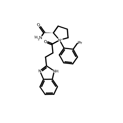 CC(C)c1ccccc1[N+]1(C(=O)CCc2nc3ccccc3[nH]2)CCC[C@H]1C(N)=O